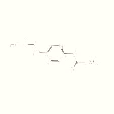 COC(=O)Cc1ccc(OCC(=O)O)cn1